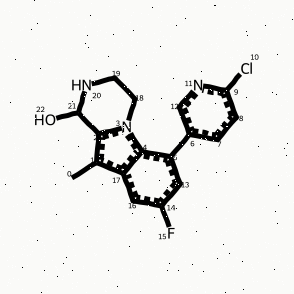 Cc1c2n(c3c(-c4ccc(Cl)nc4)cc(F)cc13)CCNC2O